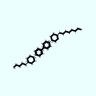 CCCCCCCC[C@H]1CC[C@H](c2ccc(-c3ccc([C@H]4CC[C@H](CCCCC)CC4)cc3)cc2)CC1